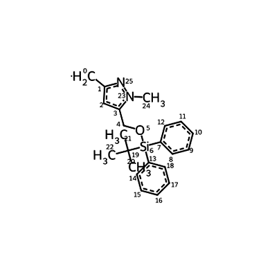 [CH2]c1cc(CO[Si](c2ccccc2)(c2ccccc2)C(C)(C)C)n(C)n1